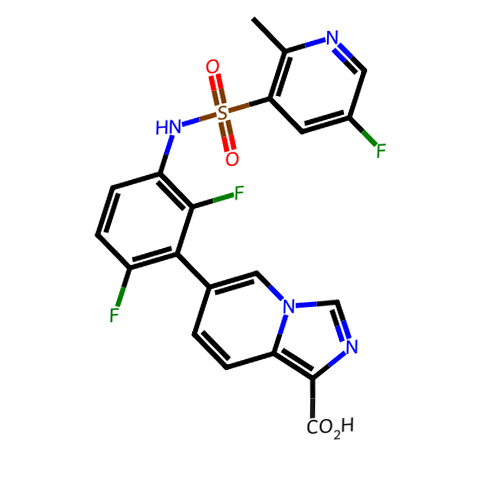 Cc1ncc(F)cc1S(=O)(=O)Nc1ccc(F)c(-c2ccc3c(C(=O)O)ncn3c2)c1F